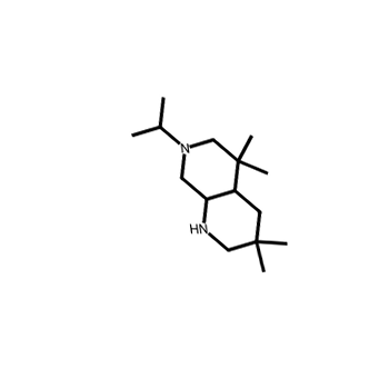 CC(C)N1CC2NCC(C)(C)CC2C(C)(C)C1